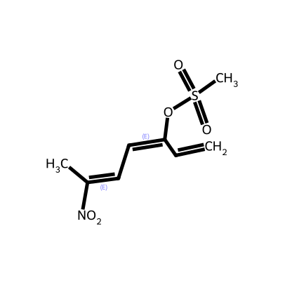 C=C/C(=C\C=C(/C)[N+](=O)[O-])OS(C)(=O)=O